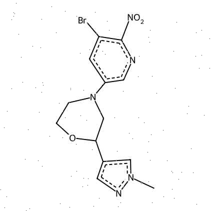 Cn1cc(C2CN(c3cnc([N+](=O)[O-])c(Br)c3)CCO2)cn1